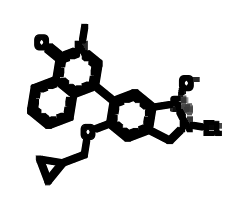 CCN1Cc2cc(OCC3CC3)c(-c3cn(C)c(=O)c4ccccc34)cc2[S@+]1[O-]